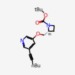 CCCCC#Cc1cncc(OC[C@H]2CCN2C(=O)OC(C)(C)C)c1